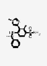 Cc1c(S(N)(=O)=O)ccc(N[C@@H](C)c2ccccc2)c1-c1cn(C)cn1